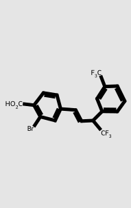 O=C(O)c1ccc(/C=C/C(c2cccc(C(F)(F)F)c2)C(F)(F)F)cc1Br